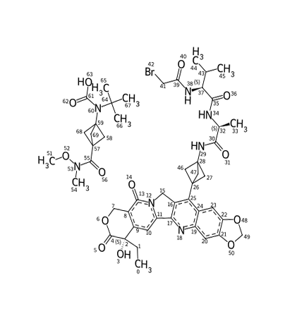 CC[C@@]1(O)C(=O)OCc2c1cc1n(c2=O)Cc2c-1nc1cc3c(cc1c2C12CC(NC(=O)[C@H](C)NC(=O)[C@@H](NC(=O)CBr)C(C)C)(C1)C2)OCO3.CON(C)C(=O)C12CC(N(C(=O)O)C(C)(C)C)(C1)C2